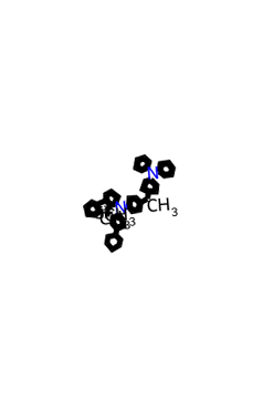 CC(c1ccc(N(c2ccccc2)c2ccccc2)cc1)c1ccc(N(c2ccc(C3CCCCC3)cc2)c2cccc3c2[Si](C)(C)c2ccccc2-3)cc1